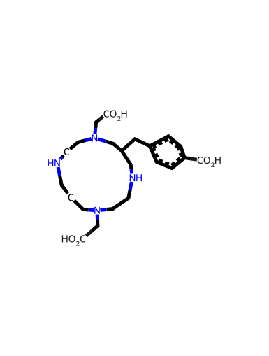 O=C(O)CN1CCCNCCN(CC(=O)O)CC(Cc2ccc(C(=O)O)cc2)CNCC1